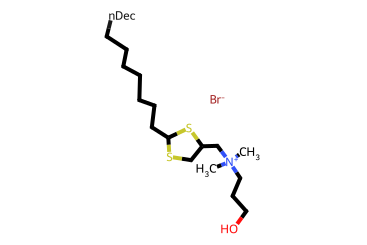 CCCCCCCCCCCCCCCCCC1SCC(C[N+](C)(C)CCCO)S1.[Br-]